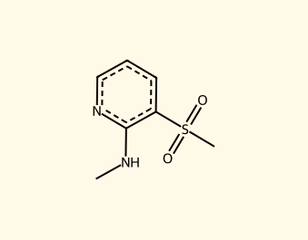 CNc1ncccc1S(C)(=O)=O